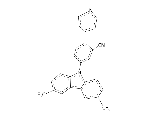 N#Cc1cc(-n2c3ccc(C(F)(F)F)cc3c3cc(C(F)(F)F)ccc32)ccc1-c1ccncc1